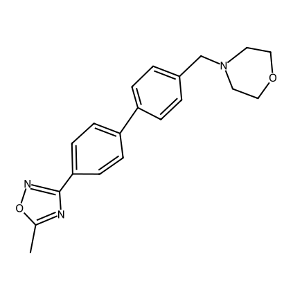 Cc1nc(-c2ccc(-c3ccc(CN4CCOCC4)cc3)cc2)no1